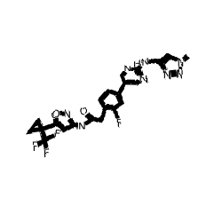 Cn1cc(Nc2ncc(-c3ccc(CC(=O)Nc4cc(C5(C(F)(F)F)CC5)on4)c(F)c3)cn2)nn1